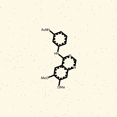 COc1cc2ncnc(Nc3cccc(NC(C)=O)c3)c2cc1OC